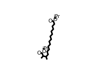 CC(C)OC(=O)CCCCCCCCCCCCCC(C)C(C)C(=O)OC(C)C